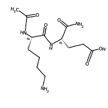 CC(=O)N[C@@H](CCCCN)C(=O)N[C@@H](CCC(=O)O)C(N)=O